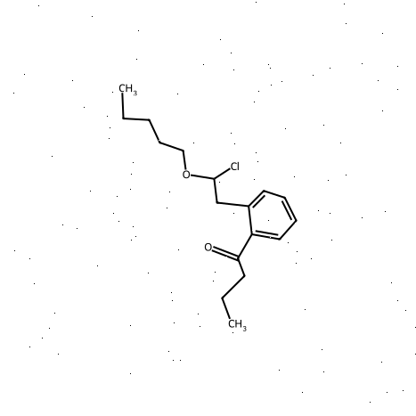 CCCCCOC(Cl)Cc1ccccc1C(=O)CCC